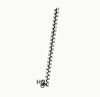 C=C(CCCCCCCCCCCCCCCCCCCCCCCCCCCCCCCCCCCCCCCCC)C(=O)O